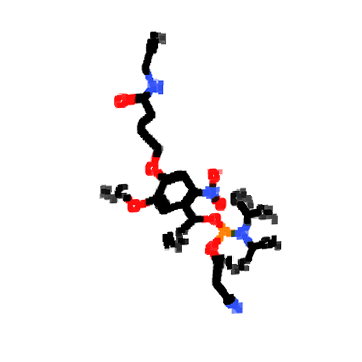 C#CCNC(=O)CCCOc1cc([N+](=O)[O-])c(C(C)OP(OCCC#N)N(C(C)C)C(C)C)cc1OC